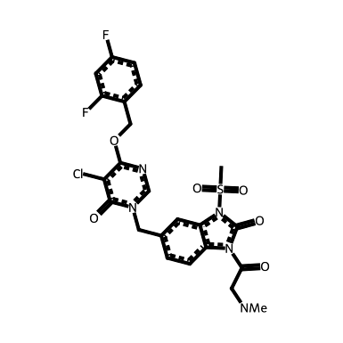 CNCC(=O)n1c(=O)n(S(C)(=O)=O)c2cc(Cn3cnc(OCc4ccc(F)cc4F)c(Cl)c3=O)ccc21